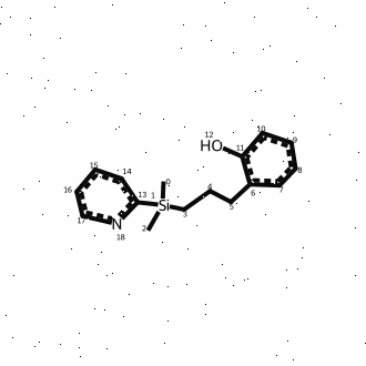 C[Si](C)(CCCc1ccccc1O)c1ccccn1